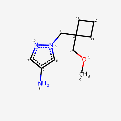 COCC1(Cn2cc(N)cn2)CCC1